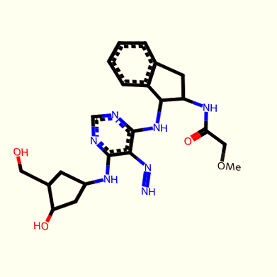 COCC(=O)NC1Cc2ccccc2C1Nc1ncnc(NC2CC(O)C(CO)C2)c1N=N